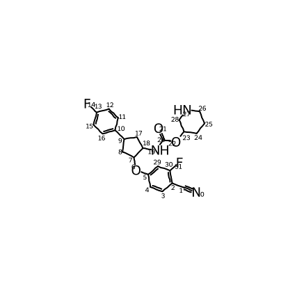 N#Cc1ccc(OC2CC(c3ccc(F)cc3)CC2NC(=O)OC2CCCNC2)cc1F